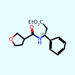 CCOC(=O)C[C@H](NC(=O)C1CCOC1)c1ccccc1